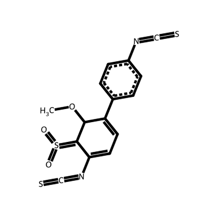 COC1C(c2ccc(N=C=S)cc2)=CC=C(N=C=S)C1=S(=O)=O